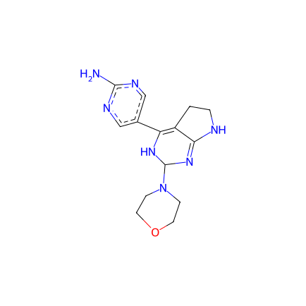 Nc1ncc(C2=C3CCNC3=NC(N3CCOCC3)N2)cn1